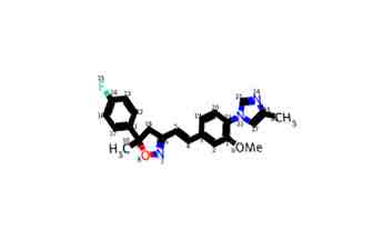 COc1cc(/C=C/C2=NOC(C)(c3ccc(F)cc3)C2)ccc1-n1cnc(C)c1